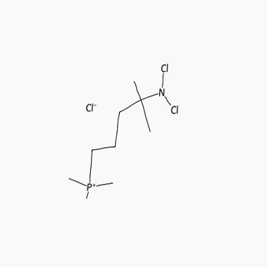 CC(C)(CCC[P+](C)(C)C)N(Cl)Cl.[Cl-]